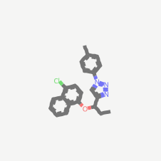 CCC(Oc1ccc(Cl)c2ccccc12)c1cn(-c2ccc(C)cc2)nn1